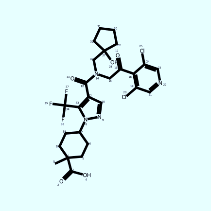 CC1(C(=O)O)CCC(n2ncc(C(=O)N(CC(=O)c3c(Cl)cncc3Cl)CC3(O)CCCC3)c2C(F)(F)F)CC1